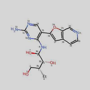 CC[C@H](CO)[C@@H](O)[C@@H](O)Nc1nc(N)ncc1-c1cc2ccncc2o1